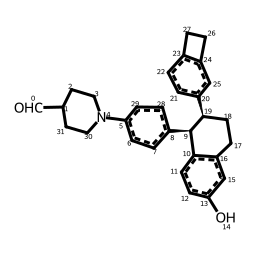 O=CC1CCN(c2ccc([C@@H]3c4ccc(O)cc4CC[C@@H]3c3ccc4c(c3)CC4)cc2)CC1